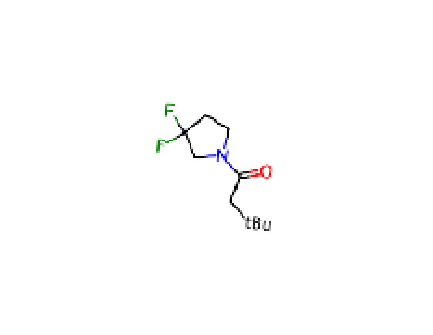 CC(C)(C)CC(=O)N1CCC(F)(F)C1